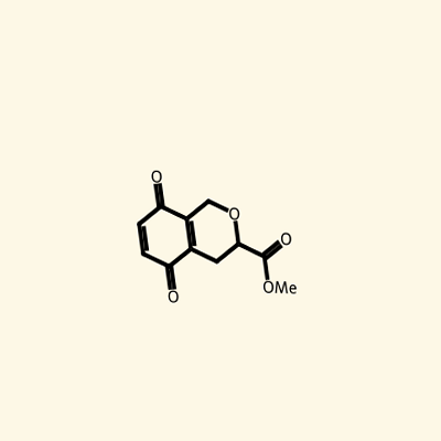 COC(=O)C1CC2=C(CO1)C(=O)C=CC2=O